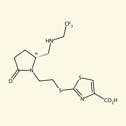 O=C(O)c1csc(SCCN2C(=O)CC[C@@H]2CNCC(F)(F)F)n1